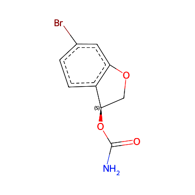 NC(=O)O[C@@H]1COc2cc(Br)ccc21